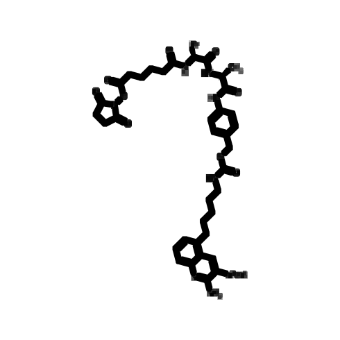 CCCCCc1cc2c(CCCCCNC(=O)OCc3ccc(NC(=O)[C@H](C)NC(=O)[C@@H](NC(=O)CCCCC(=O)ON4C(=O)CCC4=O)C(C)C)cc3)cccc2nc1N